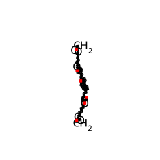 C=CC(=O)OCCCCCCOc1ccc(CCc2ccc3c(c2)Cc2cc(CCc4ccc(OCCCCCCOC(=O)C=C)cc4)ccc2-3)cc1